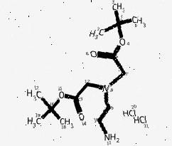 CC(C)(C)OC(=O)CN(CCN)CC(=O)OC(C)(C)C.Cl.Cl